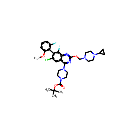 COc1cccc(F)c1-c1c(Cl)cc2c(N3CCN(C(=O)OC(C)(C)C)CC3)nc(OCN3CCN(C4CC4)CC3)nc2c1F